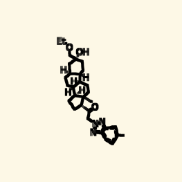 CCOC[C@@]1(O)CC[C@H]2[C@@H](CC[C@@H]3[C@@H]2CC[C@]2(C)[C@@H](C(=O)Cn4nc5ccc(C)cc5n4)CC[C@@H]32)C1